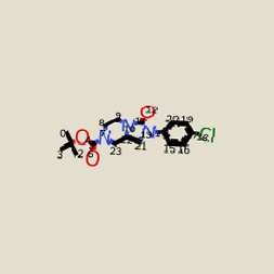 CC(C)(C)OC(=O)N1CCN2C(=O)N(c3ccc(Cl)cc3)CC2C1